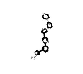 Cn1cc(-c2cccc(-c3ncc(-c4cnn([C@@H]5CCC[C@H](N6CCOCC6)C5)c4)cn3)c2)cn1